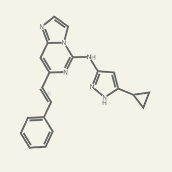 C(=C\c1cc2nccn2c(Nc2cc(C3CC3)[nH]n2)n1)/c1ccccc1